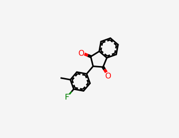 Cc1cc(C2C(=O)c3ccccc3C2=O)ccc1F